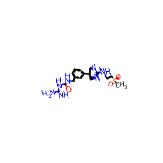 CS(=O)(=O)CCNc1ncc(-c2cccc(CNC(=O)NC(=N)N)c2)cn1